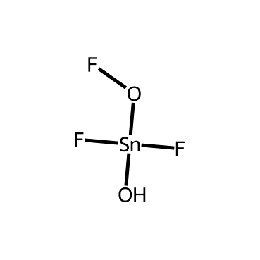 [OH][Sn]([F])([F])[O]F